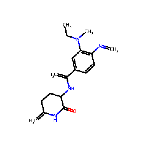 C=Nc1ccc(C(=C)NC2CCC(=C)NC2=O)cc1N(C)CC